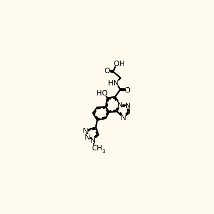 Cn1cc(-c2ccc3c(O)c(C(=O)NCC(=O)O)n4ncnc4c3c2)nn1